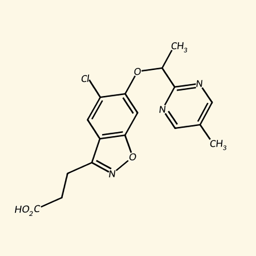 Cc1cnc(C(C)Oc2cc3onc(CCC(=O)O)c3cc2Cl)nc1